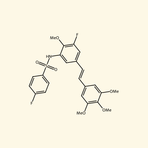 COc1cc(C=Cc2cc(F)c(OC)c(NS(=O)(=O)c3ccc(F)cc3)c2)cc(OC)c1OC